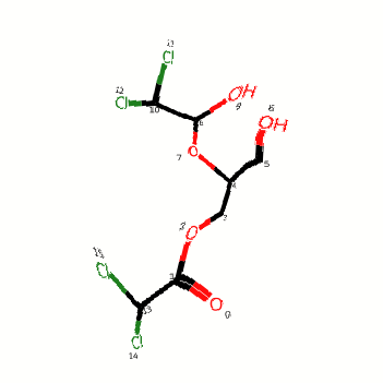 O=C(OCC(CO)OC(O)C(Cl)Cl)C(Cl)Cl